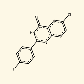 O=c1[nH]c(-c2ccc(F)cc2)nc2ccc(Cl)cc12